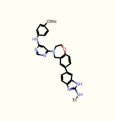 CCNc1nc2ccc(-c3ccc4c(c3)CN(c3cc(Nc5ccc(OC)cc5)ncn3)CCO4)cc2[nH]1